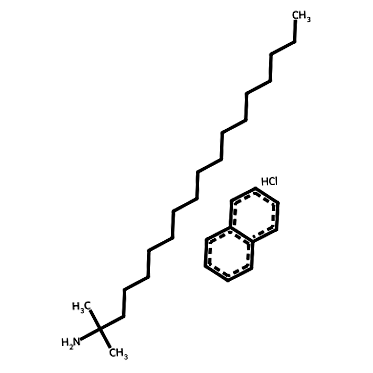 CCCCCCCCCCCCCCCCC(C)(C)N.Cl.c1ccc2ccccc2c1